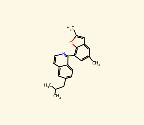 Cc1cc(-c2nccc3cc(CC(C)C)ccc23)c2oc(C)cc2c1